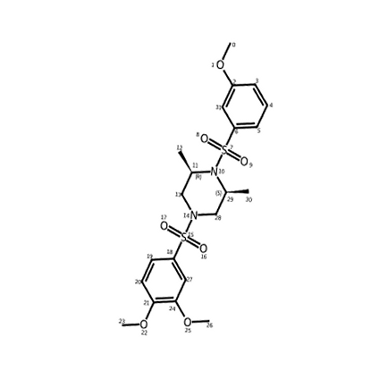 COc1cccc(S(=O)(=O)N2[C@H](C)CN(S(=O)(=O)c3ccc(OC)c(OC)c3)C[C@@H]2C)c1